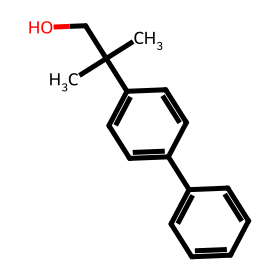 CC(C)(CO)c1ccc(-c2ccccc2)cc1